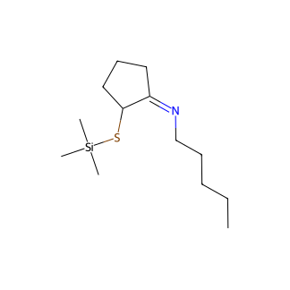 CCCCCN=C1CCCC1S[Si](C)(C)C